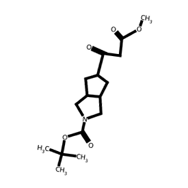 COC(=O)CC(=O)C1CC2CN(C(=O)OC(C)(C)C)CC2C1